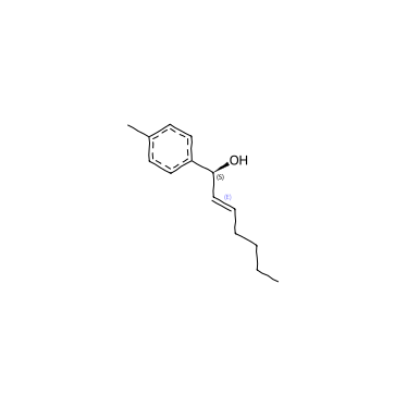 CCCC/C=C/[C@H](O)c1ccc(C)cc1